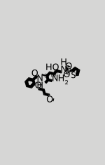 COCCCCOc1ccccc1C(=O)NC[C@@H](C[C@H](N)[C@@H](O)CNS(=O)(=O)c1cccs1)C(C)C